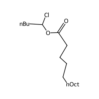 CCCCCCCCCCCCC(=O)OC(Cl)CCCC